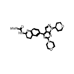 CNC(=O)NC1=Nc2ccc(-c3nc(N4CCOCC4)nc4c3cnn4C3CCOCC3)cc2CC1